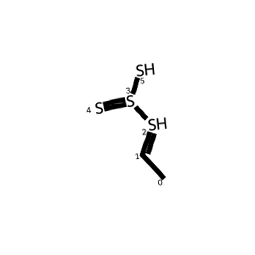 CC=[SH]S(=S)S